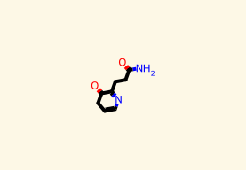 NC(=O)CCC1=NC=CCC1=O